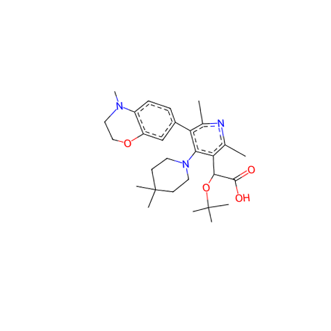 Cc1nc(C)c(C(OC(C)(C)C)C(=O)O)c(N2CCC(C)(C)CC2)c1-c1ccc2c(c1)OCCN2C